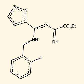 CCOC(=O)C(=N)/C=C(\NCc1ccccc1F)c1ccsn1